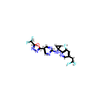 Fc1cc(CC(F)F)cnc1C1(Nc2ncc(-c3nnc(C(F)F)o3)cn2)CC1